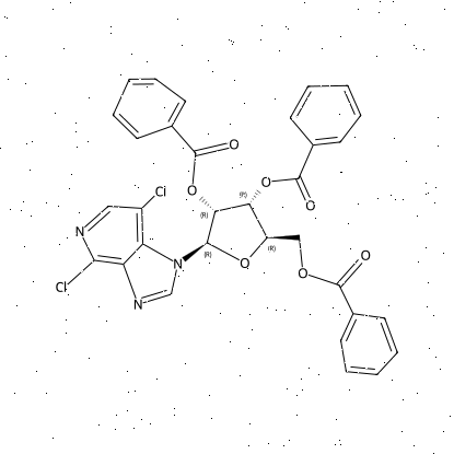 O=C(OC[C@H]1O[C@@H](n2cnc3c(Cl)ncc(Cl)c32)[C@H](OC(=O)c2ccccc2)[C@@H]1OC(=O)c1ccccc1)c1ccccc1